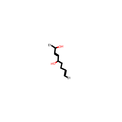 CCC=CCCC(O)C=CC(O)CC